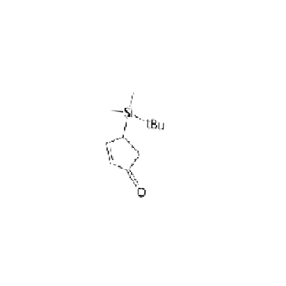 CC(C)(C)[Si](C)(C)C1C=CC(=O)C1